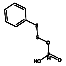 O=[PH](O)OSSc1ccccc1